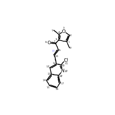 Cc1coc(C)c1C(=O)/C=C/c1cc2ccccc2nc1Cl